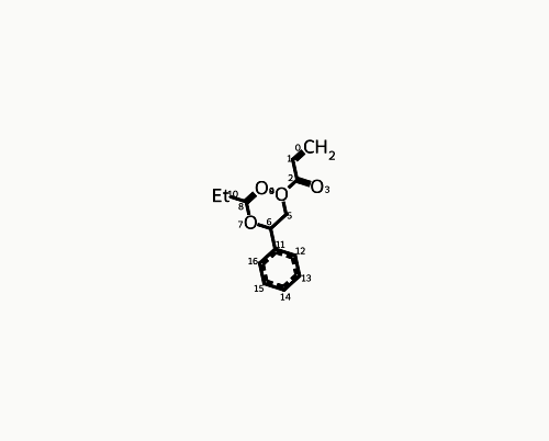 C=CC(=O)OCC(OC(=O)CC)c1ccccc1